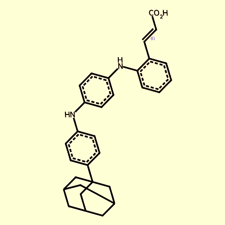 O=C(O)/C=C/c1ccccc1Nc1ccc(Nc2ccc(C34CC5CC(CC(C5)C3)C4)cc2)cc1